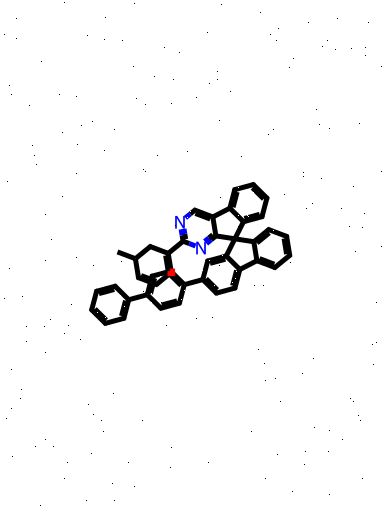 CC1C=CC=C(c2ncc3c(n2)C2(c4ccccc4-c4ccc(-c5ccc(-c6ccccc6)cc5)cc42)c2ccccc2-3)C1